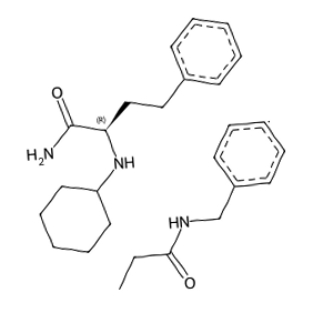 CCC(=O)NCc1cc[c]cc1.NC(=O)[C@@H](CCc1ccccc1)NC1CCCCC1